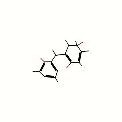 CC(C1=C(O)C(C(C)(C)C)=C(C(C)(C)C)C(O)(C(C)(C)C)C1C(C)(C)C)c1cc(C(C)(C)C)cc(C(C)(C)C)c1O